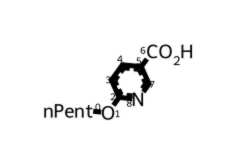 CCCCCOc1ccc(C(=O)O)cn1